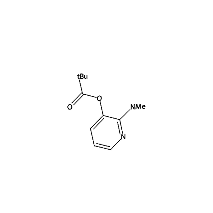 CNc1ncccc1OC(=O)C(C)(C)C